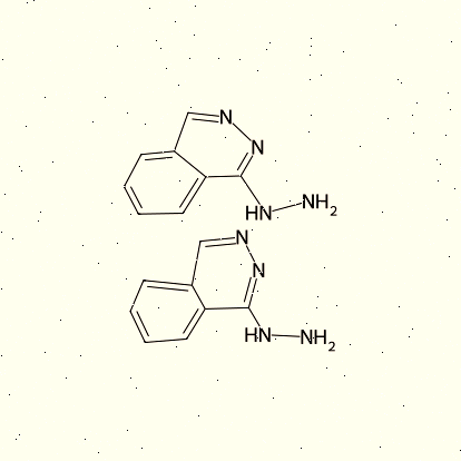 NNc1nncc2ccccc12.NNc1nncc2ccccc12